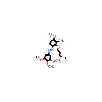 CCCCOc1c(N=Nc2cc(OC)c(OC)c(OC)c2)ccc(OC)c1C